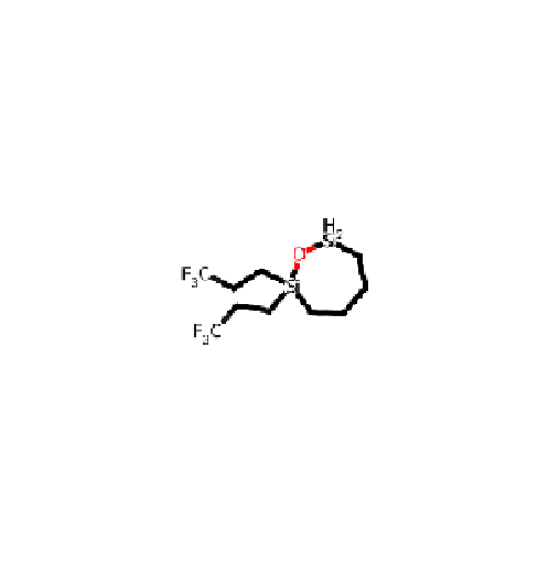 FC(F)(F)CC[Si]1(CCC(F)(F)F)CCCC[SiH2]O1